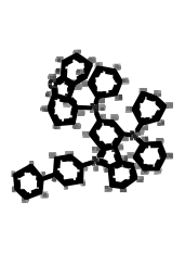 c1ccc(-c2ccc(-n3c4ccccc4c4c(N(c5ccccc5)c5ccccc5)cc(N(c5ccccc5)c5cccc6oc7ccccc7c56)cc43)cc2)cc1